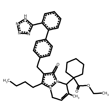 CCCCc1c(Cc2ccc(-c3ccccc3-c3nnn[nH]3)cc2)c(=O)n2n1CC=C(C)C2C1(C(=O)OCC)CCCCC1